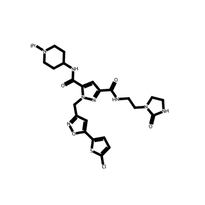 CC(C)N1CCC(NC(=O)c2cc(C(=O)NCCN3CCNC3=O)nn2Cc2cc(-c3ccc(Cl)s3)on2)CC1